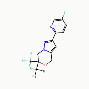 [2H]C([2H])([2H])C1(C(F)(F)F)Cn2nc(-c3ccc(F)cn3)cc2CO1